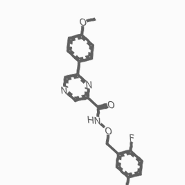 COc1ccc(-c2cncc(C(=O)NOCc3cc(OC)ccc3F)n2)cc1